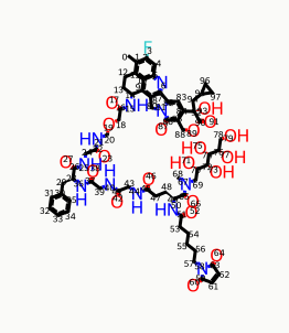 Cc1c(F)cc2nc3c(c4c2c1CC[C@@H]4NC(=O)COCNC(=O)CNC(=O)[C@H](Cc1ccccc1)NC(=O)CNC(=O)CNC(=O)CC[C@H](NC(=O)CCCCCN1C(=O)C=CC1=O)C(=O)N(C)C[C@H](O)[C@@H](O)[C@H](O)[C@H](O)CO)Cn1c-3cc2c(c1=O)COC(=O)[C@]2(O)CC1CC1